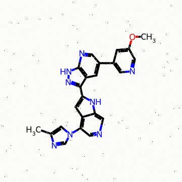 COc1cncc(-c2cnc3[nH]nc(-c4cc5c(-n6cnc(C)c6)cncc5[nH]4)c3c2)c1